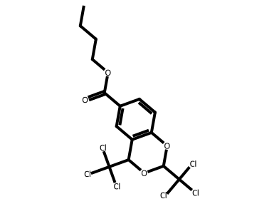 CCCCOC(=O)c1ccc2c(c1)C(C(Cl)(Cl)Cl)OC(C(Cl)(Cl)Cl)O2